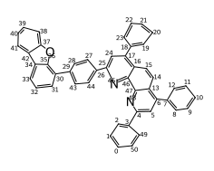 c1ccc(-c2cc(-c3ccccc3)c3ccc4c(-c5ccccc5)cc(-c5ccc(-c6cccc7c6oc6ccccc67)cc5)nc4c3n2)cc1